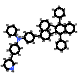 c1ccc(-c2c3c(c(-c4ccccc4)c4ccccc24)-c2ccc(-c4ccc(N(c5ccccc5)c5ccc(-c6cccnc6)cc5)cc4)c4cccc-3c24)cc1